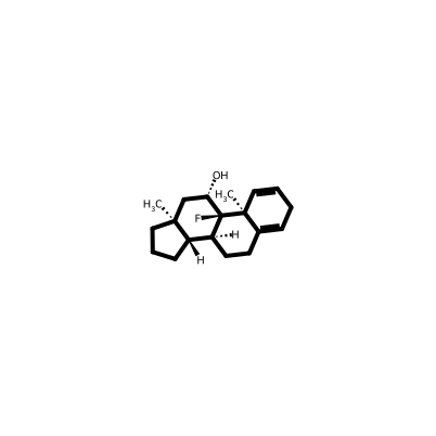 C[C@@]12CCC[C@H]1[C@@H]1CCC3=CCC=C[C@]3(C)[C@@]1(F)[C@@H](O)C2